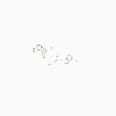 CN(C)C=Nc1ccnc2c1ccn2[C@H]1C[C@@H]2OP(=S)(OCCC#N)OC[C@H]3O[C@@H](n4ccc(=O)n5ccnc45)[C@H](OP(=O)(S)OC[C@H]2O1)[C@@H]3O[Si](C)(C)C(C)(C)C